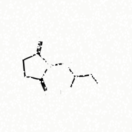 CCC(O)ON1C(=O)CCC1=O